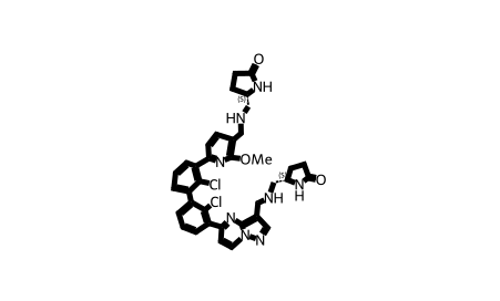 COc1nc(-c2cccc(-c3cccc(-c4ccn5ncc(CNC[C@@H]6CCC(=O)N6)c5n4)c3Cl)c2Cl)ccc1CNC[C@@H]1CCC(=O)N1